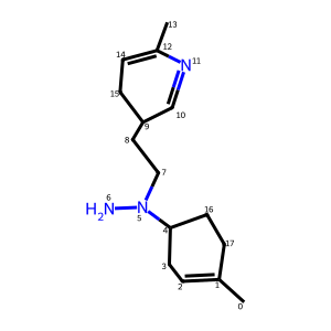 CC1=CCC(N(N)CCC2C=NC(C)=CC2)CC1